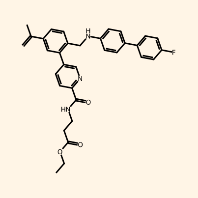 C=C(C)c1ccc(CNc2ccc(-c3ccc(F)cc3)cc2)c(-c2ccc(C(=O)NCCC(=O)OCC)nc2)c1